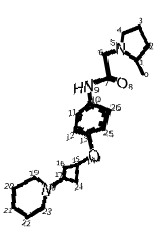 CC1CCCN1CC(=O)Nc1ccc(OC2CC(N3CCCCC3)C2)cc1